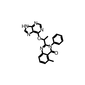 Cc1cccc2nc(C(C)Oc3ncnc4[nH]cnc34)n(-c3ccccc3)c(=O)c12